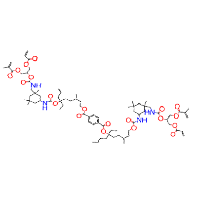 C=CC(=O)OCC(COC(=O)C(=C)C)OC(=O)NCC1(C)CC(NC(=O)OCCC(C)CCC(CC)(CCCC)OC(=O)c2ccc(C(=O)OCCC(C)CCC(CC)(CCC)OC(=O)NC3CC(C)(C)CC(C)(CNC(=O)OC(COC(=O)C=C)COC(=O)C(=C)C)C3)cc2)CC(C)(C)C1